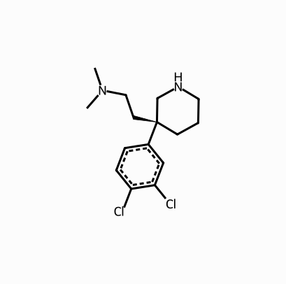 CN(C)CC[C@]1(c2ccc(Cl)c(Cl)c2)CCCNC1